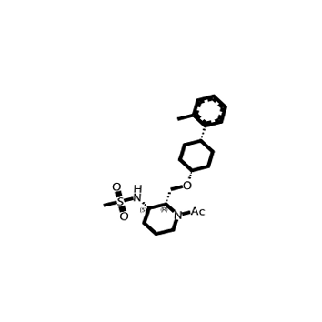 CC(=O)N1CCC[C@H](NS(C)(=O)=O)[C@@H]1CO[C@H]1CC[C@@H](c2ccccc2C)CC1